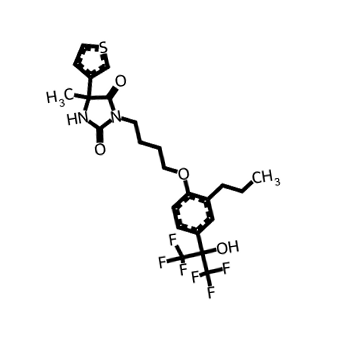 CCCc1cc(C(O)(C(F)(F)F)C(F)(F)F)ccc1OCCCCN1C(=O)NC(C)(c2ccsc2)C1=O